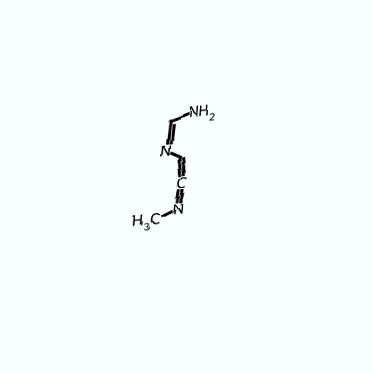 CN=C=C/N=C\N